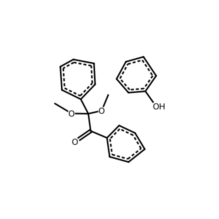 COC(OC)(C(=O)c1ccccc1)c1ccccc1.Oc1ccccc1